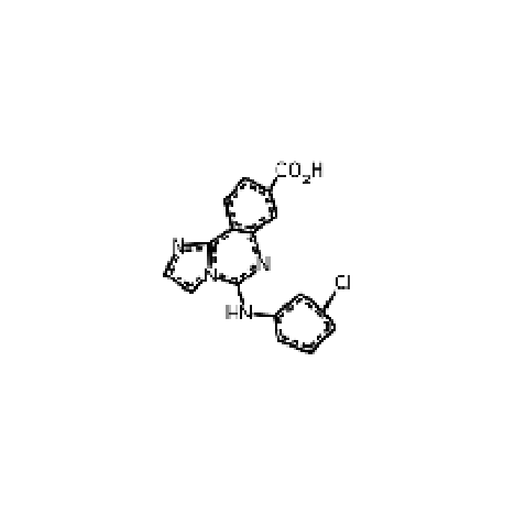 O=C(O)c1ccc2c(c1)nc(Nc1cccc(Cl)c1)n1ccnc21